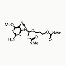 CNC(=O)OCCCOC(OC(=O)NC)n1cnc2c(OC)nc(N)nc21